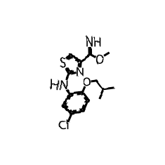 COC(=N)c1csc(Nc2cc(Cl)ccc2OCC(C)C)n1